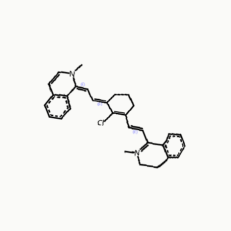 CN1C=Cc2ccccc2/C1=C\C=C1/CCCC(/C=C/C2=[N+](C)CCc3ccccc32)=C1Cl